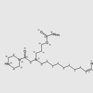 CCCC/C=C\CCCCCCCCN(CCCOC(=O)CCCCCCCCC)CC(=O)N1CCNCC1